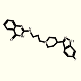 O=c1[nH]c(NCCCN2CCC(c3n[nH]c4cc(F)ccc34)CC2)nc2ccccc12